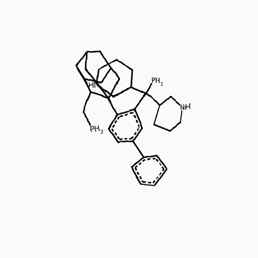 PCC1C2CC3CC(C2)CC1(c1ccc(-c2ccccc2)cc1C(P)(C1CCCNC1)C1CCCNC1)C3